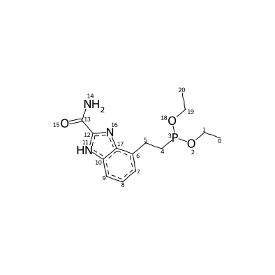 CCOP(CCc1cccc2[nH]c(C(N)=O)nc12)OCC